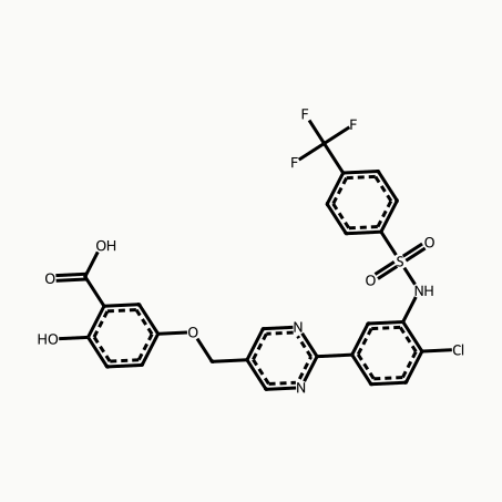 O=C(O)c1cc(OCc2cnc(-c3ccc(Cl)c(NS(=O)(=O)c4ccc(C(F)(F)F)cc4)c3)nc2)ccc1O